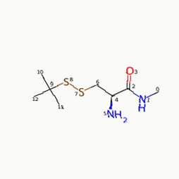 CNC(=O)[C@@H](N)CSSC(C)(C)C